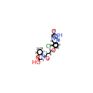 O=C(O)CN(C(=O)CCCOc1ccc2c(c1Cl)CN1CC(=O)NC1=N2)C1CCCCC1